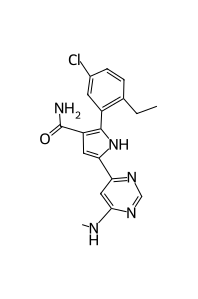 CCc1ccc(Cl)cc1-c1[nH]c(-c2cc(NC)ncn2)cc1C(N)=O